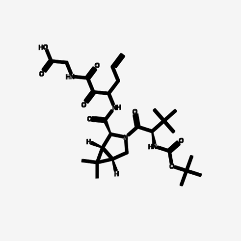 C=CCC(NC(=O)[C@@H]1[C@@H]2[C@H](CN1C(=O)[C@H](NC(=O)OC(C)(C)C)C(C)(C)C)C2(C)C)C(=O)C(=O)NCC(=O)O